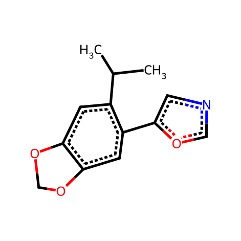 CC(C)c1cc2c(cc1-c1cnco1)OCO2